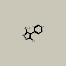 O=C(O)c1n[nH]c(O)c1-c1ccccc1